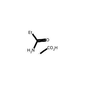 [CH2]C(=O)O.[CH2]CC(N)=O